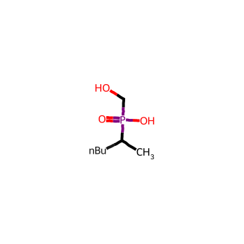 CCCCC(C)P(=O)(O)CO